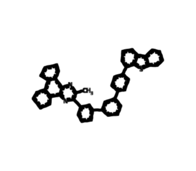 Cc1nc2c3ccccc3c3ccccc3c2nc1-c1cccc(-c2cccc(-c3ccc(-c4cccc5c4sc4ccccc45)cc3)c2)c1